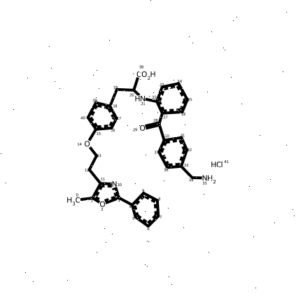 Cc1oc(-c2ccccc2)nc1CCOc1ccc(CC(Nc2ccccc2C(=O)c2ccc(CN)cc2)C(=O)O)cc1.Cl